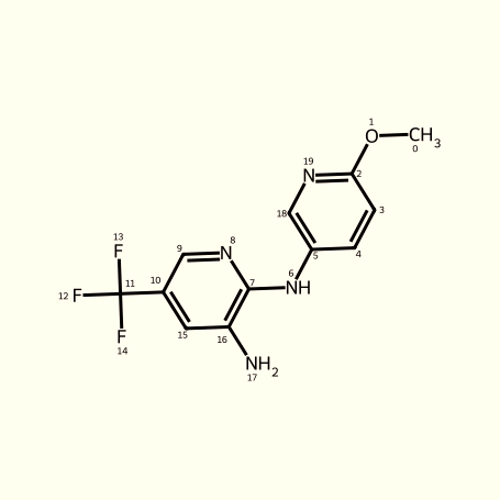 COc1ccc(Nc2ncc(C(F)(F)F)cc2N)cn1